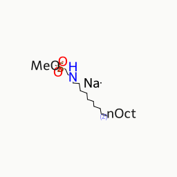 CCCCCCCC/C=C\CCCCCCCCNCCS(=O)(=O)OC.[Na]